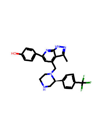 Cc1n[nH]c2nc(-c3ccc(O)cc3)cc(CN3CCNC[C@@H]3c3ccc(C(F)(F)F)cc3)c12